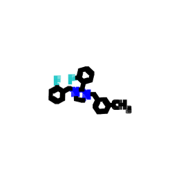 Cc1cccc(CN2CCN(Cc3ccccc3F)C2c2ccccc2F)c1